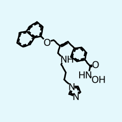 O=C(NO)c1ccc(/C=C(\CNCCCn2ccnc2)COc2cccc3ccccc23)cc1